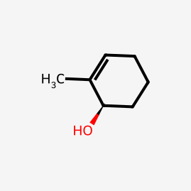 CC1=CCCC[C@H]1O